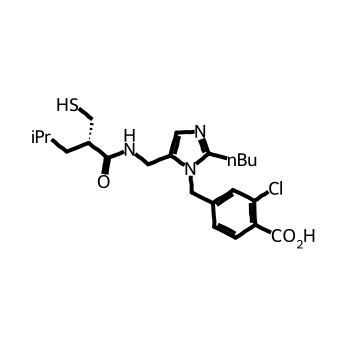 CCCCc1ncc(CNC(=O)[C@@H](CS)CC(C)C)n1Cc1ccc(C(=O)O)c(Cl)c1